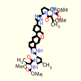 COC(=O)N[C@H](C(=O)N1C[C@@H](C)C[C@H]1c1nc2ccc3cc4c(cc3c2[nH]1)OCc1cc(-c2cnc([C@@H]3CC[C@H](C)N3C(=O)[C@@H](NC(=O)OC)[C@@H](C)OC)[nH]2)ccc1-4)[C@@H](C)OC